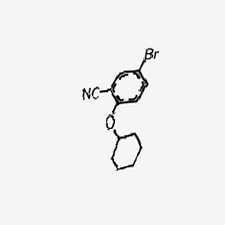 N#Cc1cc(Br)ccc1OC1CCCCC1